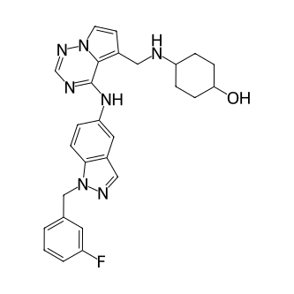 OC1CCC(NCc2ccn3ncnc(Nc4ccc5c(cnn5Cc5cccc(F)c5)c4)c23)CC1